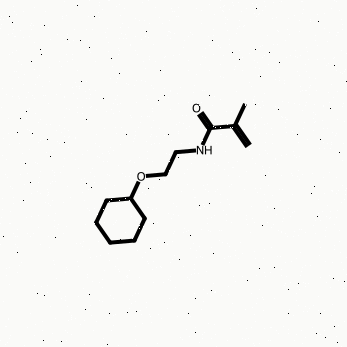 C=C(C)C(=O)NCCOC1CCCCC1